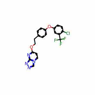 FC(F)(F)c1cc(Oc2ccc(CCOc3ccn4cnnc4n3)cc2)ccc1Cl